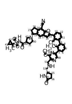 COc1nc(-c2cccc(-c3cccc(-c4cc5cc6c(c(C#N)c5o4)CC[C@H]6N4CC[C@@H](C(=O)NS(=O)(=O)C5(C)CC5)C4)c3Cl)c2C)cnc1CNC[C@@H]1CCC(=O)N1